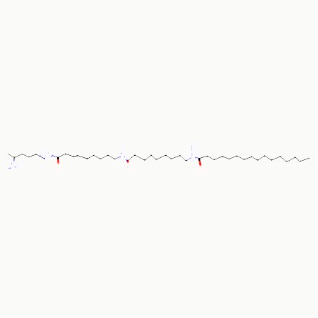 CCCCCCCCCCCCCCCC(=O)NCCCCCCCCC(=O)NCCCCCCCCC(=O)NCCCCC(C)NC